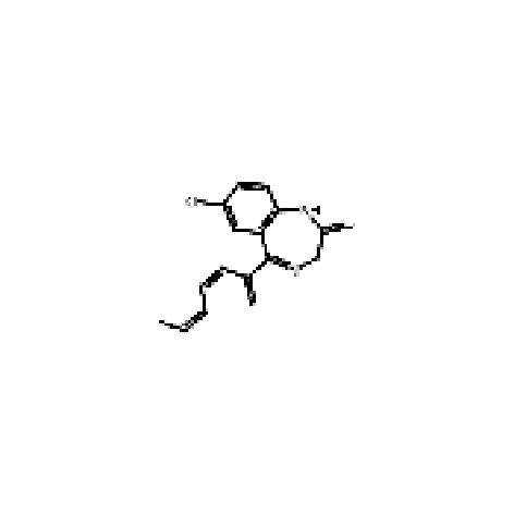 C=C(/C=C\C=C/C)C1=NCC(=O)Nc2ccc(Cl)cc21